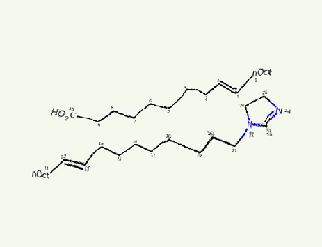 CCCCCCCCC=CCCCCCCCC(=O)O.CCCCCCCCC=CCCCCCCCCN1C=NCC1